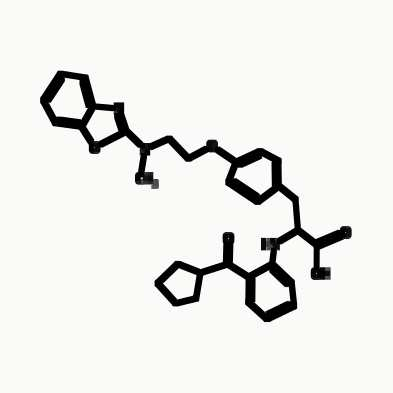 CN(CCOc1ccc(CC(Nc2ccccc2C(=O)C2CCCC2)C(=O)O)cc1)c1nc2ccccc2o1